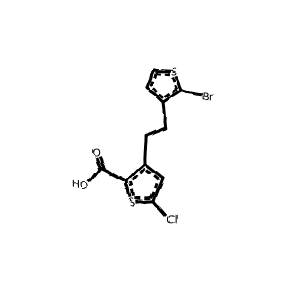 O=C(O)c1sc(Cl)cc1CCc1ccsc1Br